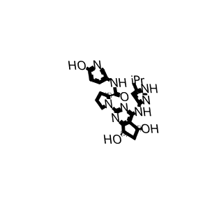 CC(C)c1cc(Nc2nc(N3CCC[C@H]3C(=O)Nc3ccc(O)nc3)nc3c2[C@@H](O)C[C@@H]3O)n[nH]1